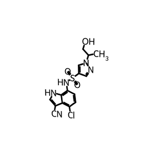 CC(CO)n1cc(S(=O)(=O)Nc2ccc(Cl)c3c(C#N)c[nH]c23)cn1